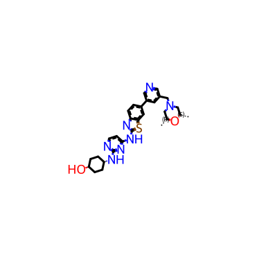 C[C@@H]1CN(Cc2cncc(-c3ccc4nc(Nc5ccnc(N[C@H]6CC[C@H](O)CC6)n5)sc4c3)c2)C[C@H](C)O1